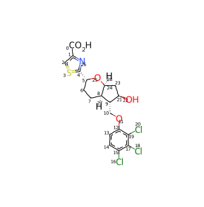 O=C(O)c1csc([C@H]2CC[C@@H]3[C@@H](COc4ccc(Cl)c(Cl)c4Cl)[C@H](O)C[C@@H]3O2)n1